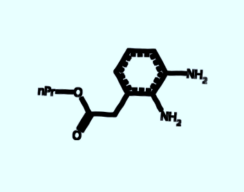 CCCOC(=O)Cc1cccc(N)c1N